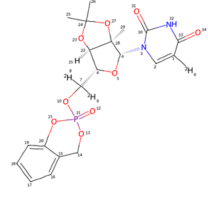 [2H]c1cn([C@@H]2O[C@H](C([2H])([2H])OP3(=O)OCc4ccccc4O3)[C@H]3OC(C)(C)O[C@]32C)c(=O)[nH]c1=O